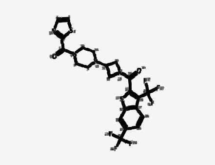 O=C(c1nccs1)N1CCN(C2CN(C(=O)c3sc4cc(C(F)(F)F)ccc4c3C(F)(F)F)C2)CC1